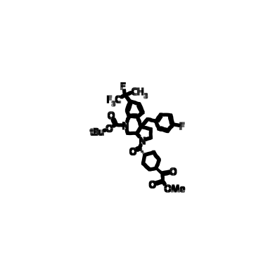 COC(=O)C(=O)[C@H]1CC[C@H](C(=O)N2CCC3(Cc4ccc(F)cc4)c4ccc(C(C)(F)C(F)(F)F)cc4N(C(=O)OC(C)(C)C)CC23)CC1